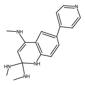 CNC1=CC(NC)(NC)Nc2ccc(-c3ccncc3)cc21